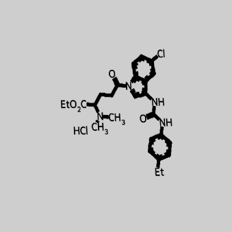 CCOC(=O)C(CCC(=O)n1cc(NC(=O)Nc2ccc(CC)cc2)c2cc(Cl)ccc21)N(C)C.Cl